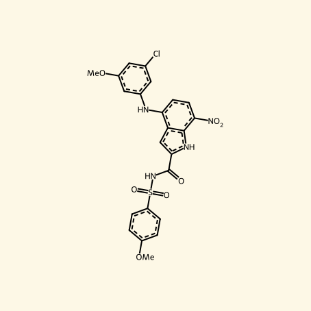 COc1ccc(S(=O)(=O)NC(=O)c2cc3c(Nc4cc(Cl)cc(OC)c4)ccc([N+](=O)[O-])c3[nH]2)cc1